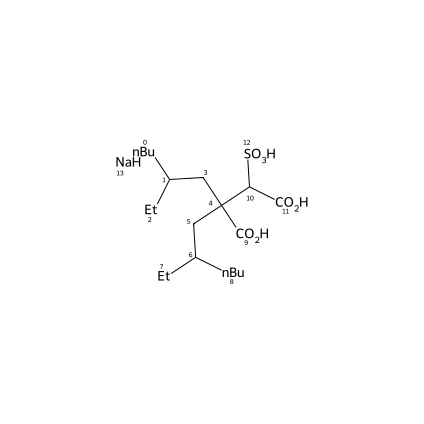 CCCCC(CC)CC(CC(CC)CCCC)(C(=O)O)C(C(=O)O)S(=O)(=O)O.[NaH]